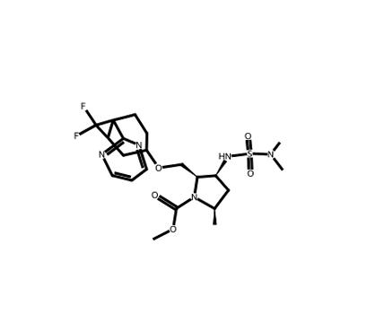 COC(=O)N1[C@H](C)C[C@H](NS(=O)(=O)N(C)C)[C@@H]1COC1CCC2(c3ncccn3)C(C1)C2(F)F